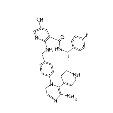 CC(NC(=O)c1cc(C#N)cnc1NCc1ccc(N2CC=NC(N)=C2C2=CCNCC2)cc1)c1ccc(F)cc1